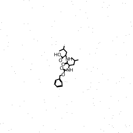 CC(C)CC(NC(=O)C(CC(C)C)NC(=O)OCc1ccccc1)C(=O)O